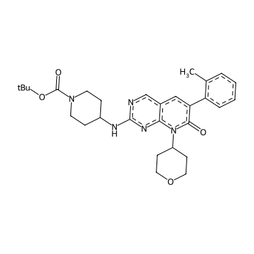 Cc1ccccc1-c1cc2cnc(NC3CCN(C(=O)OC(C)(C)C)CC3)nc2n(C2CCOCC2)c1=O